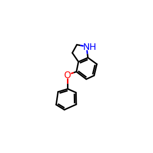 c1ccc(Oc2cccc3c2CCN3)cc1